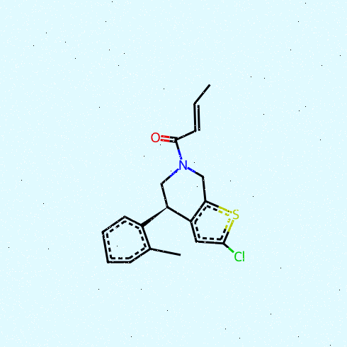 C/C=C/C(=O)N1Cc2sc(Cl)cc2[C@@H](c2ccccc2C)C1